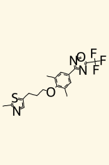 Cc1ncc(CCCOc2c(C)cc(-c3noc(C(F)(F)F)n3)cc2C)s1